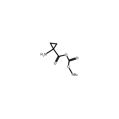 CCCCOC(=O)OC(=O)C1(N)CC1